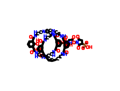 O=C(CNS(=O)(=O)c1cc2c(O)c(c1)C(=O)NCCN1CCNC(=O)c3cccc(c3O)C(=O)NCCC(/C=C/C3CCNC(=O)c4cccc(c4O)C(=O)NCCN(CCNC(=O)c4cccc(c4O)C(=O)NCC3)CC1)CCNC2=O)ON1C(=O)CC(S(=O)(=O)O)C1=O